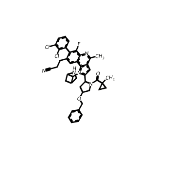 Cc1nc2c(F)c(-c3cccc(Cl)c3Cl)c(CCC#N)cc2c2c1cc(C1CC(OCc3ccccc3)CN1C(=O)C1(C)CC1)n2C1C2CNC1C2